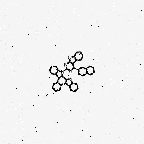 c1ccc2cc(-c3nc(-n4c5ccccc5c5c6ccccc6c6c7ccccc7sc6c54)nc4oc5ccccc5c34)ccc2c1